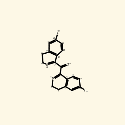 O=C(C1=NCCc2cc(F)ccc21)C1=NCCc2cc(F)ccc21